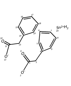 O=C([O-])Cc1ccccc1.O=C([O-])Cc1ccccc1.[SnH2+2]